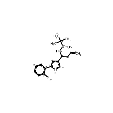 C=CC[C@H](N[S@@+]([O-])C(C)(C)C)c1cc(-c2ccccc2F)on1